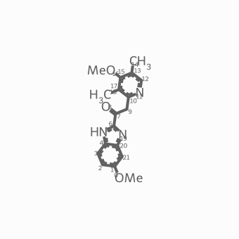 COc1ccc2[nH]c(C(=O)Cc3ncc(C)c(OC)c3C)nc2c1